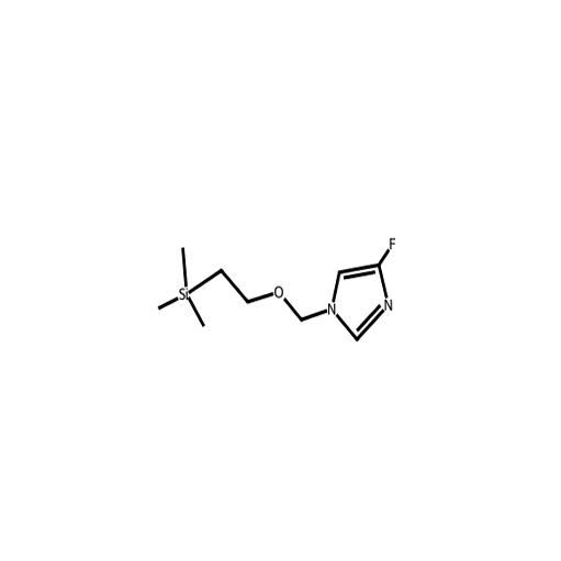 C[Si](C)(C)CCOCn1cnc(F)c1